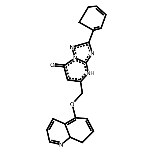 O=c1cc(COC2=C3C=CC=NC3CC=C2)[nH]c2nc(C3=CC=CCC3)nn12